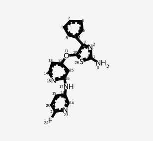 Nc1nc(-c2ccccc2)c(Oc2ccnc(Nc3ccc(F)nc3)c2)s1